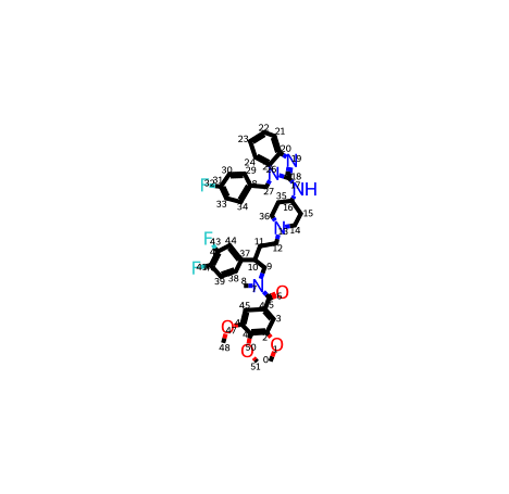 COc1cc(C(=O)N(C)CC(CCN2CCC(Nc3nc4ccccc4n3Cc3ccc(F)cc3)CC2)c2ccc(F)c(F)c2)cc(OC)c1OC